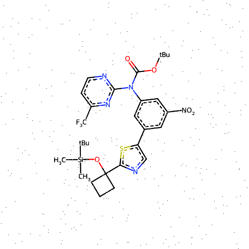 CC(C)(C)OC(=O)N(c1cc(-c2cnc(C3(O[Si](C)(C)C(C)(C)C)CCC3)s2)cc([N+](=O)[O-])c1)c1nccc(C(F)(F)F)n1